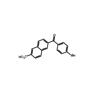 CC(C)(C)c1ccc(C(=O)c2ccc3cc(C(=O)O)ccc3c2)cc1